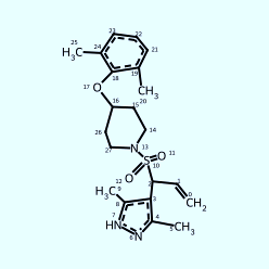 C=CC(c1c(C)n[nH]c1C)S(=O)(=O)N1CCC(Oc2c(C)cccc2C)CC1